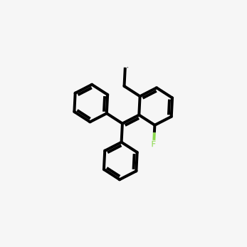 [CH2]CC1=CC=CC(F)C1=C(c1ccccc1)c1ccccc1